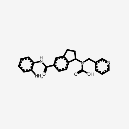 Nc1ccccc1NC(=O)c1ccc2c(c1)CCC2N(Cc1cccnc1)C(=O)O